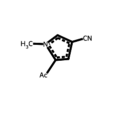 CC(=O)c1cc(C#N)cn1C